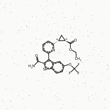 CCOC(=O)[C@@H]1C[C@H]1c1cccc(-c2c(C(N)=O)[se]c3ccc(OC(F)(F)F)cc23)n1